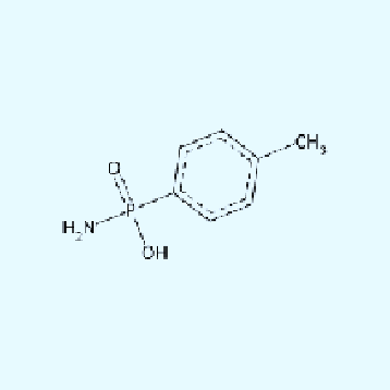 Cc1ccc(P(N)(=O)O)cc1